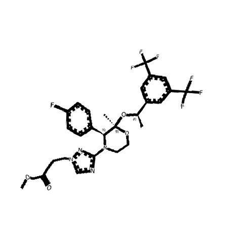 COC(=O)Cn1cnc(N2CCO[C@](C)(O[C@H](C)c3cc(C(F)(F)F)cc(C(F)(F)F)c3)[C@@H]2c2ccc(F)cc2)n1